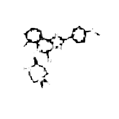 COc1ccc(-c2nc3c4cccc(Br)c4nc(N[C@@H]4CS(=O)(=O)CCNC4=O)n3n2)cc1